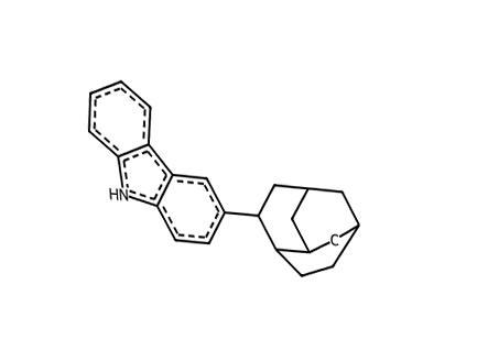 c1ccc2c(c1)[nH]c1ccc(C3CC4CC5CCC3C(C5)C4)cc12